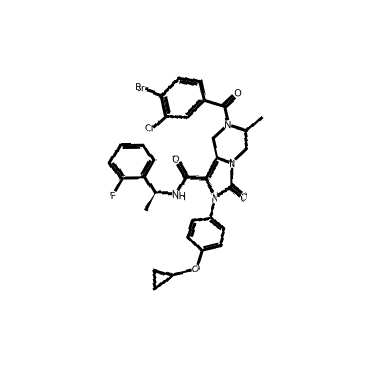 CC1Cn2c(c(C(=O)N[C@@H](C)c3ccccc3F)n(-c3ccc(OC4CC4)cc3)c2=O)CN1C(=O)c1ccc(Br)c(Cl)c1